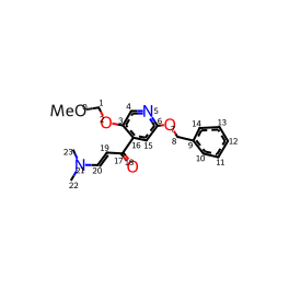 COCOc1cnc(OCc2ccccc2)cc1C(=O)/C=C/N(C)C